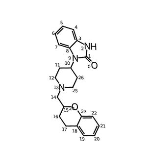 O=c1[nH]c2ccccc2n1C1CCN(CC2CCc3ccccc3O2)CC1